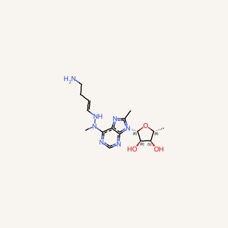 Cc1nc2c(N(C)NC=CCCN)ncnc2n1[C@@H]1O[C@H](C)[C@@H](O)[C@H]1O